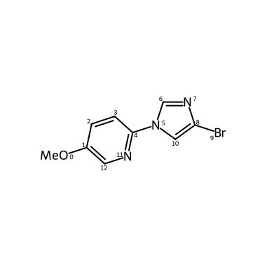 COc1ccc(-n2cnc(Br)c2)nc1